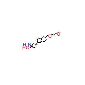 COCCCOCC1CCc2cc([C@H]3CC[C@](N)(CO)C3)ccc2C1